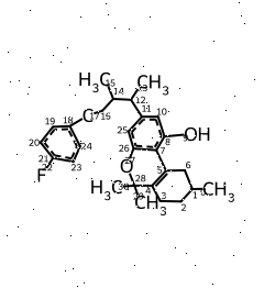 CC1CCC2=C(C1)c1c(O)cc(C(C)C(C)CCc3ccc(F)cc3)cc1OC2(C)C